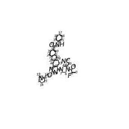 C=C(F)C(=O)N1CCN(c2nc(OCC3CCCN3C)nc3c2CCC2(Cc4ccc(C(=O)Nc5ccccc5)cc4C2)C3)CC1CC#N